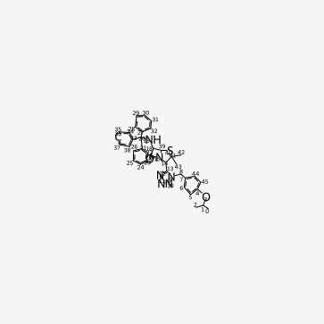 CC(C)Oc1ccc(Cn2nnnc2C2N3C(=O)C(NC(c4ccccc4)(c4ccccc4)c4ccccc4)C3SC2(C)C)cc1